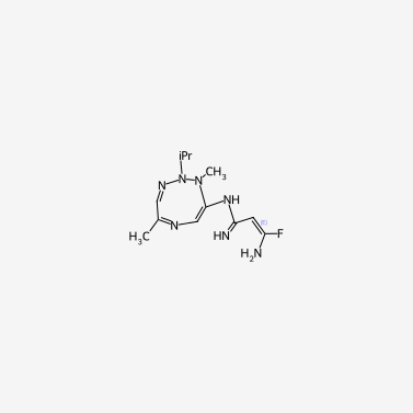 Cc1cnn(C(C)C)n(C)c(NC(=N)/C=C(\N)F)cn1